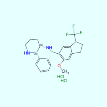 COc1cc2c(cc1CN[C@H]1CCCN[C@H]1c1ccccc1)C(C(F)(F)F)CC2.Cl.Cl